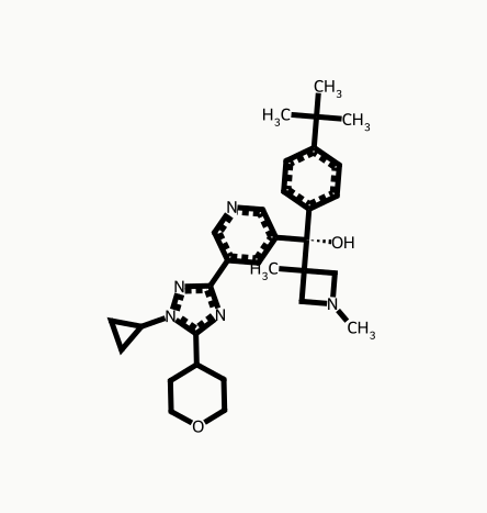 CN1CC(C)([C@](O)(c2ccc(C(C)(C)C)cc2)c2cncc(-c3nc(C4CCOCC4)n(C4CC4)n3)c2)C1